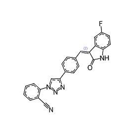 N#Cc1ccccc1-n1cc(-c2ccc(/C=C3\C(=O)Nc4ccc(F)cc43)cc2)nn1